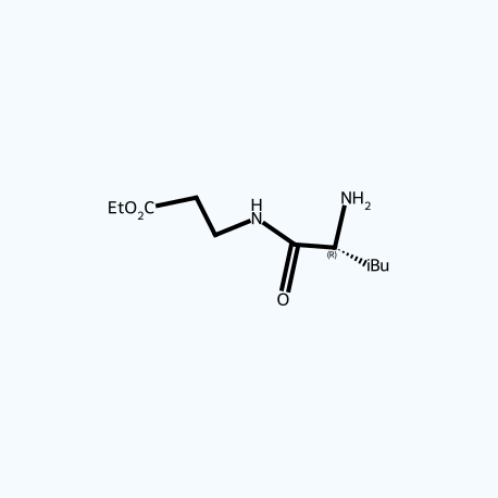 CCOC(=O)CCNC(=O)[C@H](N)C(C)CC